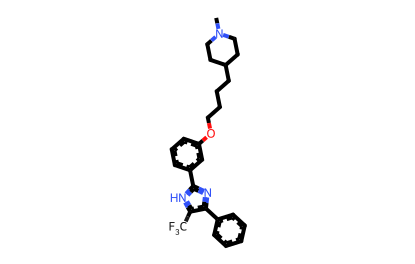 CN1CCC(CCCCOc2cccc(-c3nc(-c4ccccc4)c(C(F)(F)F)[nH]3)c2)CC1